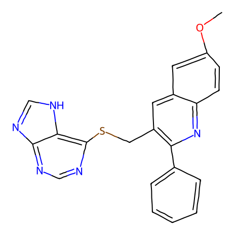 COc1ccc2nc(-c3ccccc3)c(CSc3ncnc4nc[nH]c34)cc2c1